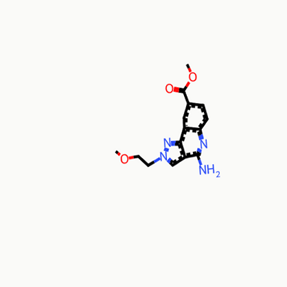 COCCn1cc2c(N)nc3ccc(C(=O)OC)cc3c2n1